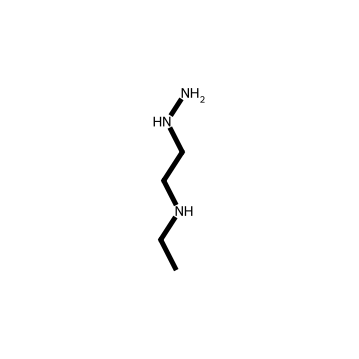 CCNCCNN